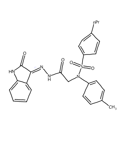 CCCc1ccc(S(=O)(=O)N(CC(=O)N/N=C2/C(=O)Nc3ccccc32)c2ccc(C)cc2)cc1